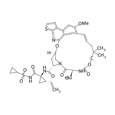 C=C[C@@H]1C[C@]1(NC(=O)[C@@H]1C[C@@H]2CN1C(=O)[C@H](C(C)(C)C)NC(=O)OCC(C)(C)C/C=C/c1cc3c(nc4sccc4c3cc1OC)O2)C(=O)NS(=O)(=O)C1CC1